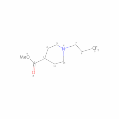 COC(=O)C1CCN(CCC(F)(F)F)CC1